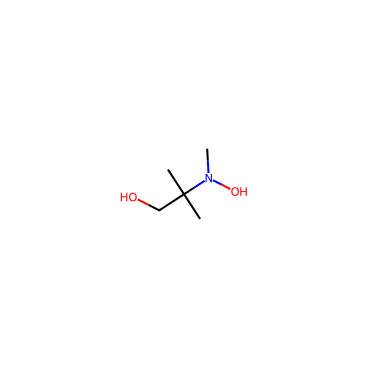 CN(O)C(C)(C)CO